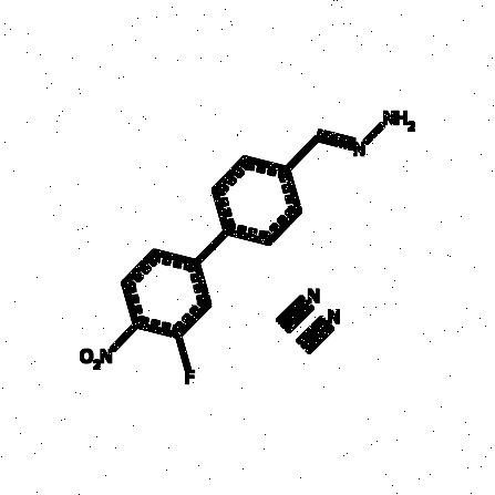 C#N.C#N.NN=Cc1ccc(-c2ccc([N+](=O)[O-])c(F)c2)cc1